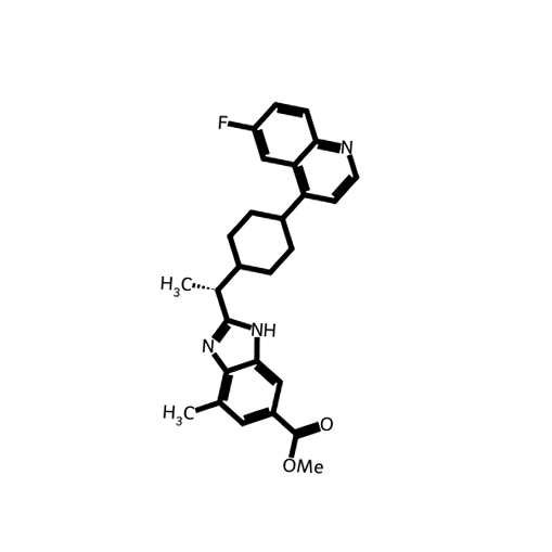 COC(=O)c1cc(C)c2nc([C@H](C)C3CCC(c4ccnc5ccc(F)cc45)CC3)[nH]c2c1